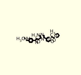 CNCc1ccc(-c2cc(-c3nc(-c4ccc(=O)n(C(C)C(=O)N5CCCC5)c4)cnc3N)on2)cc1